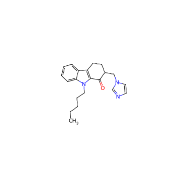 CCCCCn1c2c(c3ccccc31)CCC(Cn1ccnc1)C2=O